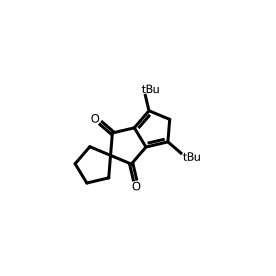 CC(C)(C)C1=C2C(=O)C3(CCCC3)C(=O)C2=C(C(C)(C)C)C1